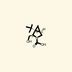 CC(C)(C)[C@]12C[C@H]1CN(C(=O)O)[C@H]2CO